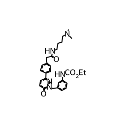 CCOC(=O)Nc1cccc(Cn2nc(-c3ccc(CC(=O)NCCCCN(C)C)cc3)ccc2=O)c1